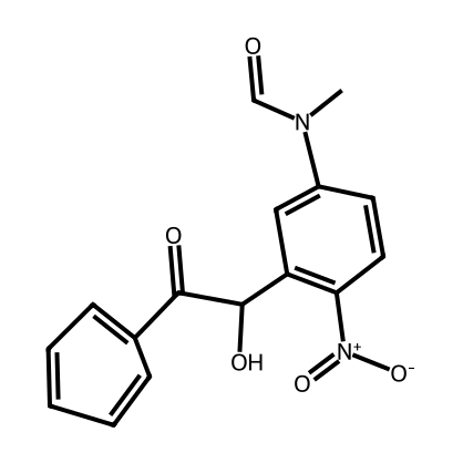 CN(C=O)c1ccc([N+](=O)[O-])c(C(O)C(=O)c2ccccc2)c1